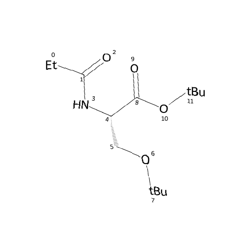 CCC(=O)N[C@@H](COC(C)(C)C)C(=O)OC(C)(C)C